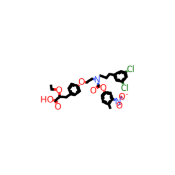 CCOC(Cc1ccc(OCCN(CCCc2cc(Cl)cc(Cl)c2)C(=O)Oc2ccc(C)c([N+](=O)[O-])c2)cc1)C(=O)O